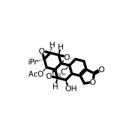 CC(=O)O[C@@H]1[C@@]2(C(C)C)O[C@H]2[C@@H]2O[C@]23[C@]12O[C@H]2[C@H](O)C1C2=C(CC[C@@]13C)C(=O)OC2